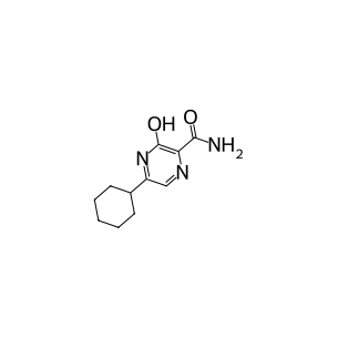 NC(=O)c1ncc(C2CCCCC2)nc1O